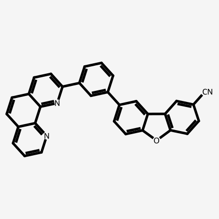 N#Cc1ccc2oc3ccc(-c4cccc(-c5ccc6ccc7cccnc7c6n5)c4)cc3c2c1